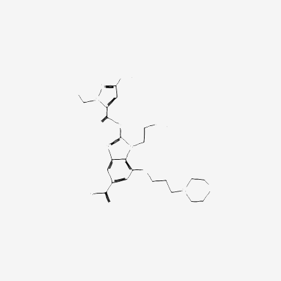 CCCn1c(NC(=O)c2cc(C)nn2CC)nc2cc(C(N)=O)cc(OCCCN3CCOCC3)c21